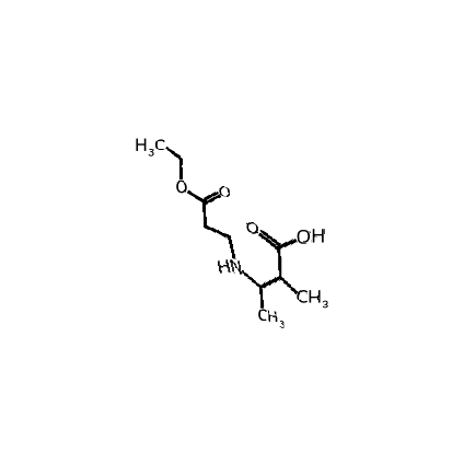 CCOC(=O)CCNC(C)C(C)C(=O)O